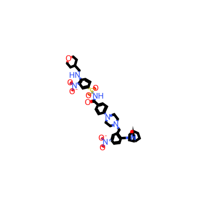 O=C(NS(=O)(=O)c1ccc(NCC2CCOCC2)c([N+](=O)[O-])c1)c1ccc(N2CCN(Cc3cc([N+](=O)[O-])ccc3N3CC4CCC(CC4)C3)CC2)cc1